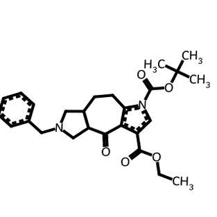 CCOC(=O)c1cn(C(=O)OC(C)(C)C)c2c1C(=O)C1CN(Cc3ccccc3)CC1CC2